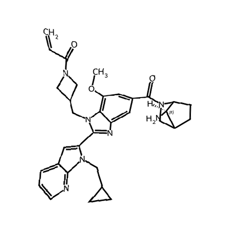 C=CC(=O)N1CC(Cn2c(-c3cc4cccnc4n3CC3CC3)nc3cc(C(=O)N4CC5CCC4[C@@H]5N)cc(OC)c32)C1